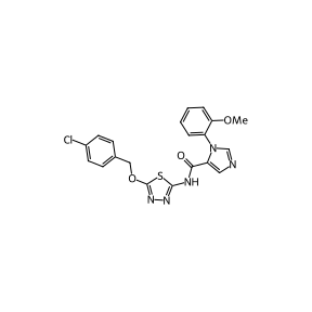 COc1ccccc1-n1cncc1C(=O)Nc1nnc(OCc2ccc(Cl)cc2)s1